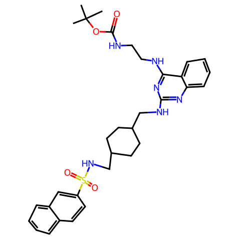 CC(C)(C)OC(=O)NCCNc1nc(NCC2CCC(CNS(=O)(=O)c3ccc4ccccc4c3)CC2)nc2ccccc12